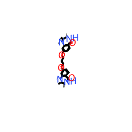 CC1[C@H](C)NC(=O)c2ccc(OCCCOc3ccc4c(c3)N(C)C(C)[C@H](C)NC4=O)cc2N1C